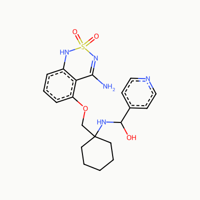 NC1=NS(=O)(=O)Nc2cccc(OCC3(NC(O)c4ccncc4)CCCCC3)c21